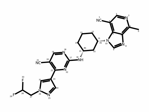 Cc1ncc(C#N)c2c1ncn2[C@H]1CCC[C@@H](Nc2ncc(C#N)c(-c3cnn(CC(F)F)c3)n2)C1